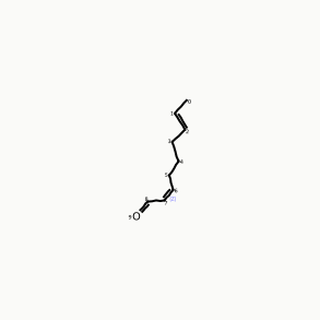 CC=CCCC/C=C\C=O